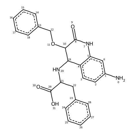 Nc1ccc2c(c1)NC(=O)C(OCc1ccccc1)C2NC(Cc1ccccc1)C(=O)O